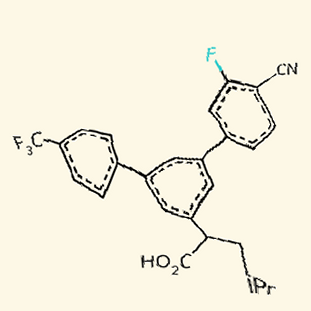 CC(C)CC(C(=O)O)c1cc(-c2ccc(C(F)(F)F)cc2)cc(-c2ccc(C#N)c(F)c2)c1